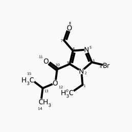 CCn1c(Br)nc(C=O)c1C(=O)OC(C)C